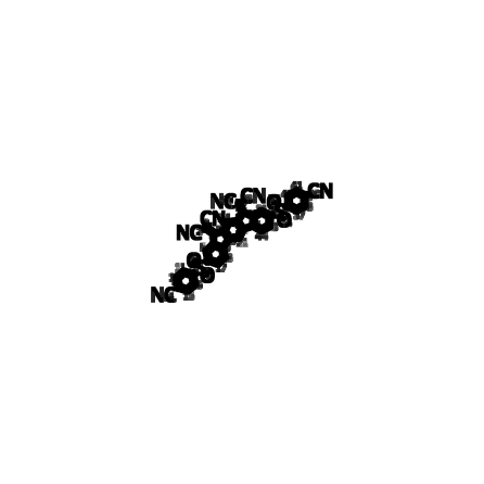 N#CC(C#N)=C1c2cc(S(=O)(=O)c3ccc(C#N)cc3)ccc2-c2cc3c(cc21)C(=C(C#N)C#N)c1cc(S(=O)(=O)c2ccc(C#N)cc2)ccc1-3